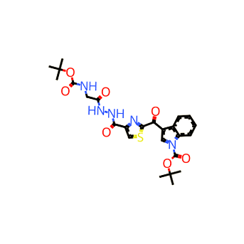 CC(C)(C)OC(=O)NCC(=O)NNC(=O)c1csc(C(=O)c2cn(C(=O)OC(C)(C)C)c3ccccc23)n1